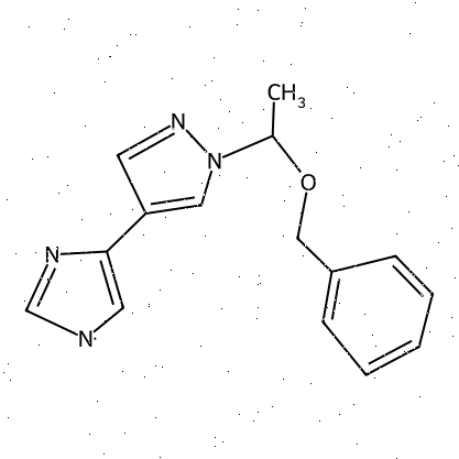 CC(OCc1ccccc1)n1cc(C2=C[N]C=N2)cn1